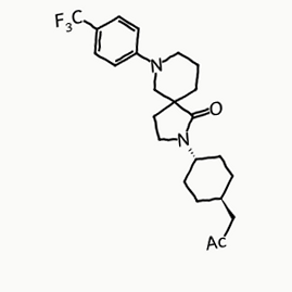 CC(=O)C[C@H]1CC[C@H](N2CCC3(CCCN(c4ccc(C(F)(F)F)cc4)C3)C2=O)CC1